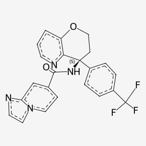 O=C(N[C@]1(c2ccc(C(F)(F)F)cc2)CCOc2cccnc21)c1ccn2ccnc2c1